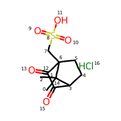 CC1(C)C2CCC1(CS(=O)(=O)O)C(=O)C2=O.Cl